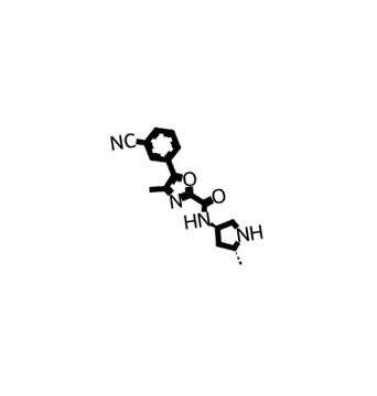 Cc1nc(C(=O)N[C@H]2CN[C@H](C)C2)oc1-c1cccc(C#N)c1